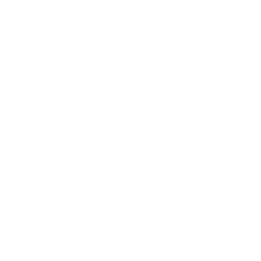 CC(C(=O)O)c1cccc(S(=O)(=O)c2ccccc2)c1